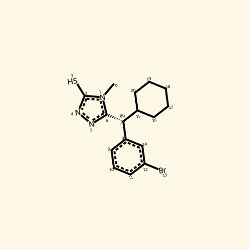 Cn1c(S)nnc1[C@@H](c1cccc(Br)c1)C1CCCCC1